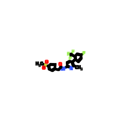 Cc1nc(NC(=O)Cc2ccc(S(C)(=O)=O)cc2)ccc1-c1ccc(F)cc1C(F)(F)F